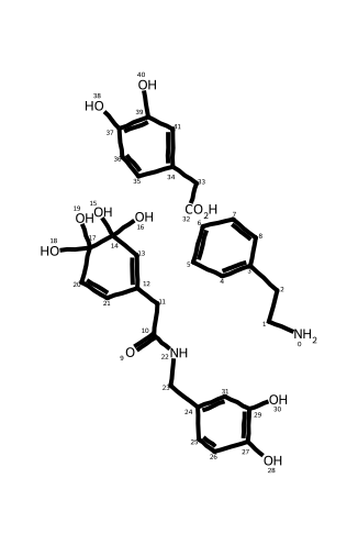 NCCc1ccccc1.O=C(CC1=CC(O)(O)C(O)(O)C=C1)NCc1ccc(O)c(O)c1.O=C(O)Cc1ccc(O)c(O)c1